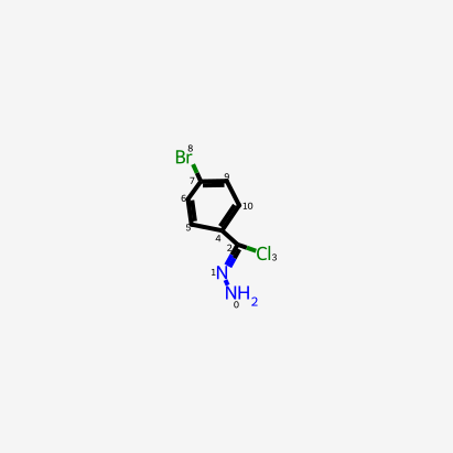 NN=C(Cl)c1ccc(Br)cc1